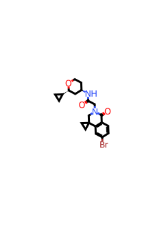 O=C(CN1CC2(CC2)c2cc(Br)ccc2C1=O)N[C@@H]1CCO[C@@H](C2CC2)C1